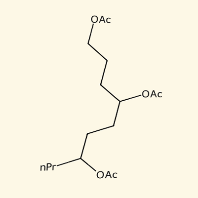 CCCC(CCC(CCCOC(C)=O)OC(C)=O)OC(C)=O